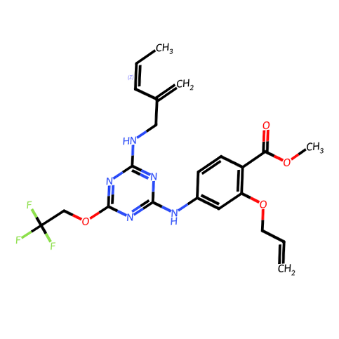 C=CCOc1cc(Nc2nc(NCC(=C)/C=C\C)nc(OCC(F)(F)F)n2)ccc1C(=O)OC